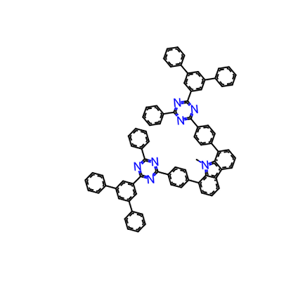 Cn1c2c(-c3ccc(-c4nc(-c5ccccc5)nc(-c5cc(-c6ccccc6)cc(-c6ccccc6)c5)n4)cc3)cccc2c2cccc(-c3ccc(-c4nc(-c5ccccc5)nc(-c5cc(-c6ccccc6)cc(-c6ccccc6)c5)n4)cc3)c21